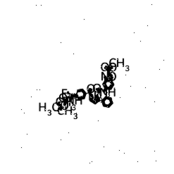 COC(=O)c1nc2cc(NC(=O)[C@@H]3[C@H](C4CCCCC4)CCN3C(=O)[C@H]3CC[C@H]([C@@H](CF)NC(=O)OC(C)(C)C)CC3)ccc2o1